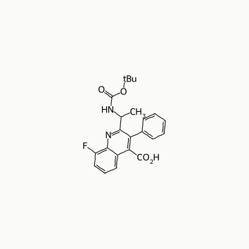 CC(NC(=O)OC(C)(C)C)c1nc2c(F)cccc2c(C(=O)O)c1-c1ccccc1